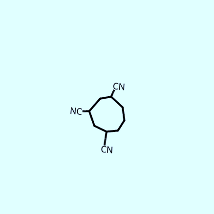 N#CC1CCCC(C#N)CC(C#N)C1